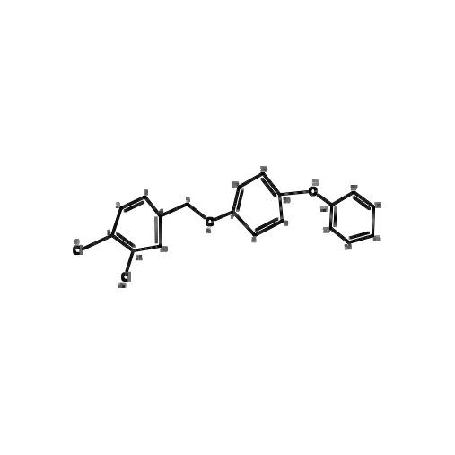 Clc1ccc(COc2ccc(Oc3ccccc3)cc2)cc1Cl